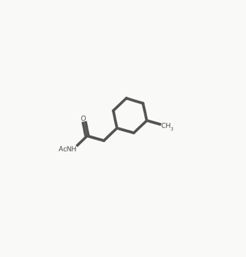 CC(=O)NC(=O)CC1CCCC(C)C1